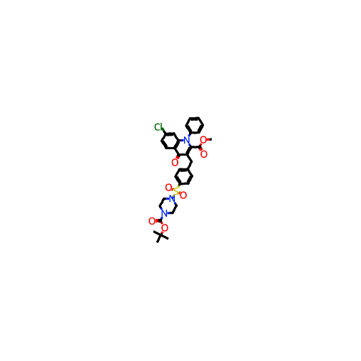 COC(=O)c1c(Cc2ccc(S(=O)(=O)N3CCN(C(=O)OC(C)(C)C)CC3)cc2)c(=O)c2ccc(Cl)cc2n1-c1ccccc1